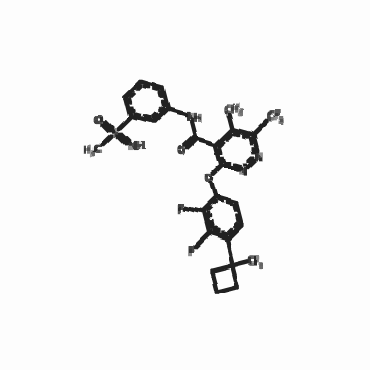 Cc1c(C(F)(F)F)nnc(Oc2ccc(C3(C(F)(F)F)CCC3)c(F)c2F)c1C(=O)Nc1cccc(S(C)(=N)=O)c1